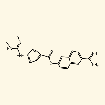 CN=C(NC)Nc1ccc(C(=O)Oc2ccc3cc(C(=N)N)ccc3c2)cc1